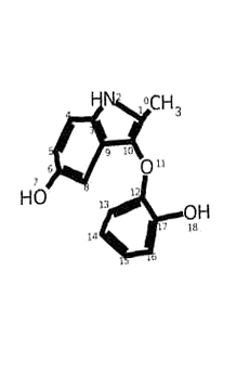 Cc1[nH]c2ccc(O)cc2c1Oc1ccccc1O